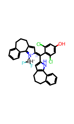 Oc1cc(Cl)c(/C(=C2\C=C3CCCc4ccccc4C3=[N+]2[BH-](F)F)c2cc3c([nH]2)-c2ccccc2CCC3)c(Cl)c1